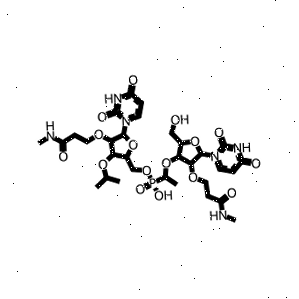 CNC(=O)CCOC1C(OC(C)C)C(COP(=O)(O)C(C)OC2C(CO)OC(n3ccc(=O)[nH]c3=O)C2OCCC(=O)NC)OC1n1ccc(=O)[nH]c1=O